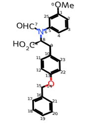 COc1cccc(N(C=O)[C@@H](Cc2ccc(OCc3ccccc3)cc2)C(=O)O)c1